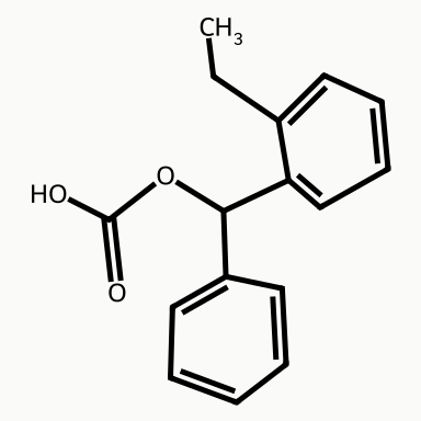 CCc1ccccc1C(OC(=O)O)c1ccccc1